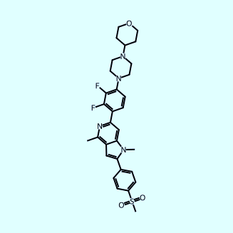 Cc1nc(-c2ccc(N3CCN(C4CCOCC4)CC3)c(F)c2F)cc2c1cc(-c1ccc(S(C)(=O)=O)cc1)n2C